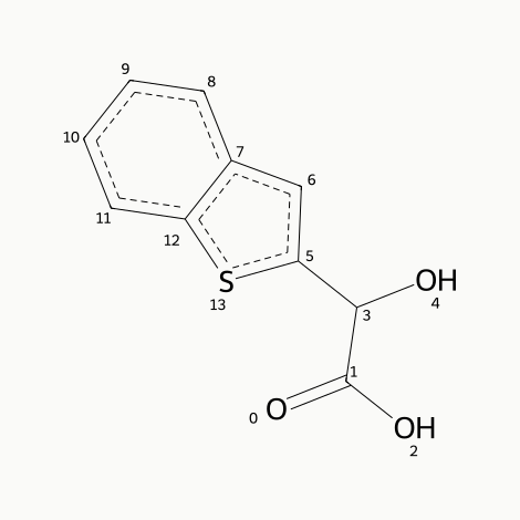 O=C(O)C(O)c1cc2ccccc2s1